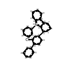 Clc1cc(-c2cccc3c4ccccc4n(-c4ccccc4)c23)ccc1-c1ccccc1